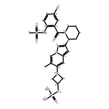 Cc1cn2nc([C@@H]3CCCCN3C(=O)c3cc(Cl)ccc3NS(C)(=O)=O)cc2cc1N1CC(OP(=O)(O)O)C1